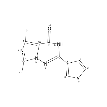 Cc1nc(C)n2nc(-c3ccsc3)[nH]c(=O)c12